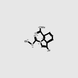 COC(=O)c1cccc2c(Br)cn(C(=O)OC(C)(C)C)c12